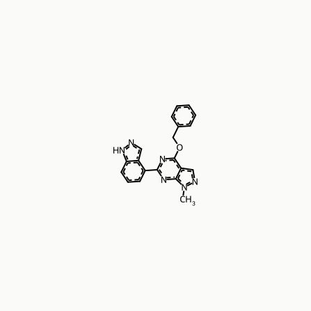 Cn1ncc2c(OCc3ccccc3)nc(-c3cccc4[nH]ncc34)nc21